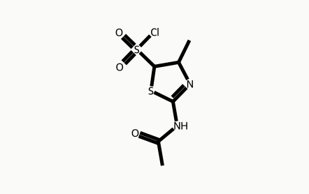 CC(=O)NC1=NC(C)C(S(=O)(=O)Cl)S1